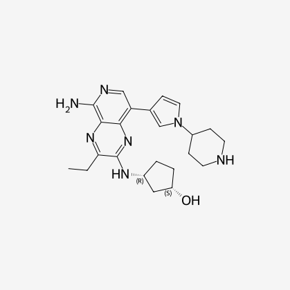 CCc1nc2c(N)ncc(-c3ccn(C4CCNCC4)c3)c2nc1N[C@@H]1CC[C@H](O)C1